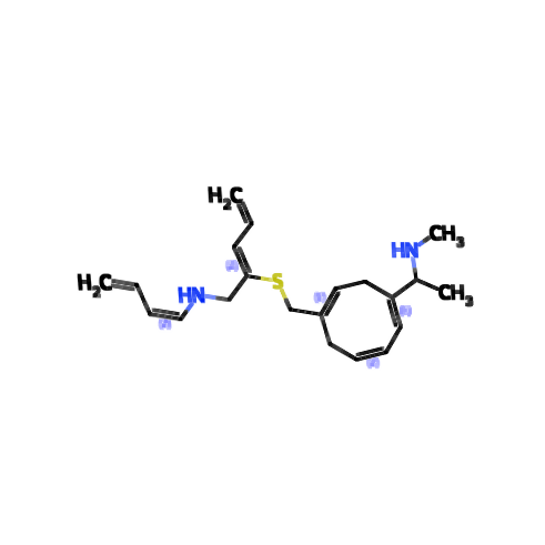 C=C/C=C\NC/C(=C/C=C)SC/C1=C/C/C(C(C)NC)=C\C=C/C1